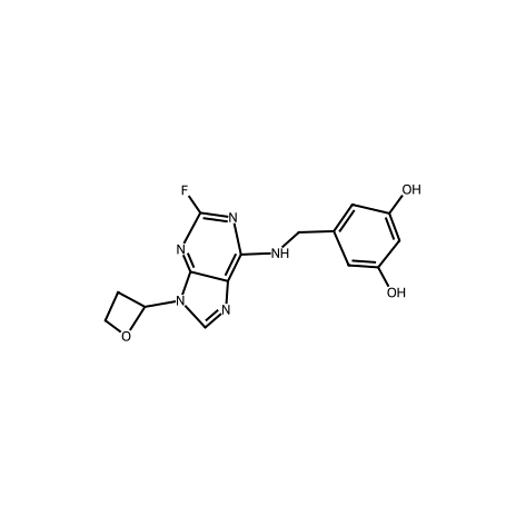 Oc1cc(O)cc(CNc2nc(F)nc3c2ncn3C2CCO2)c1